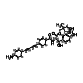 CC(CO)(CO)COC(=O)[C@@H](NC(=O)c1ccc(C#CC#Cc2ccc(N)cc2)cc1)[C@H](O)c1ccc(O)cc1